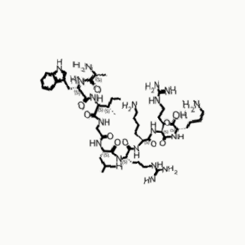 CC[C@H](C)[C@H](NC(=O)[C@H](Cc1c[nH]c2ccccc12)NC(=O)[C@H](C)N)C(=O)NCC(=O)N[C@@H](CC(C)C)C(=O)N[C@@H](CCCNC(=N)N)C(=O)N[C@@H](CCCCN)C(=O)N[C@@H](CCCNC(=N)N)C(=O)N[C@@H](CCCCN)C(=O)O